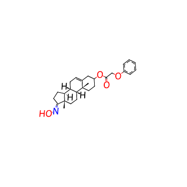 C[C@]12CCC(OC(=O)COc3ccccc3)CC1=CC[C@@H]1[C@H]2CC[C@]2(C)C(=NO)CC[C@@H]12